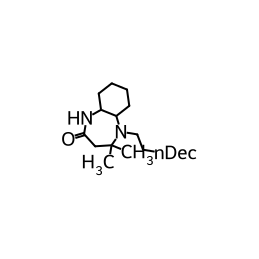 CCCCCCCCCCCCN1C2CCCCC2NC(=O)CC1(C)C